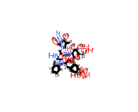 Cc1cn(CC(=O)N[C@@H](Cc2ccccc2)C(=O)N[C@@H](Cc2ccc(OP(=O)(O)O)cc2)C(=O)ON[C@@H]2[C@@H](O)[C@H](O)[C@@H](CO)O[C@H]2O)c(=O)[nH]c1=O